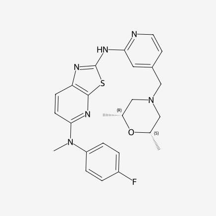 C[C@@H]1CN(Cc2ccnc(Nc3nc4ccc(N(C)c5ccc(F)cc5)nc4s3)c2)C[C@H](C)O1